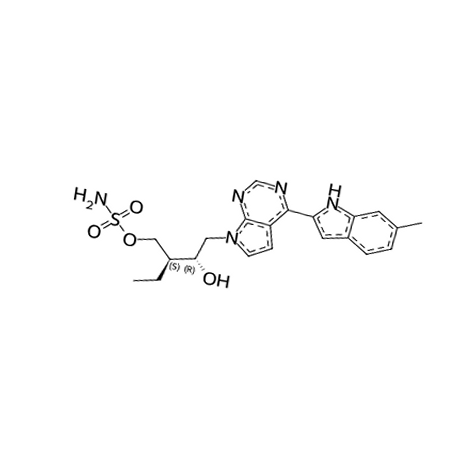 CC[C@@H](COS(N)(=O)=O)[C@@H](O)Cn1ccc2c(-c3cc4ccc(C)cc4[nH]3)ncnc21